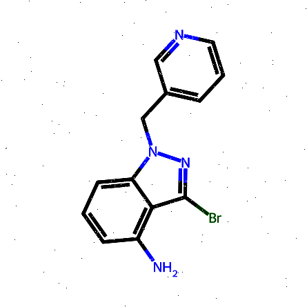 Nc1cccc2c1c(Br)nn2Cc1cccnc1